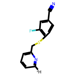 [2H]c1cccc(CSc2ccc(C#N)cc2F)n1